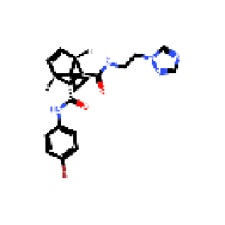 O=C(NCCn1cncn1)[C@H]1[C@H](C(=O)Nc2ccc(Br)cc2)[C@@H]2C=C[C@H]1C21CC1